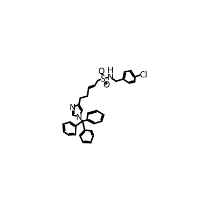 O=S(=O)(C/C=C/CCc1cn(C(c2ccccc2)(c2ccccc2)c2ccccc2)cn1)NCc1ccc(Cl)cc1